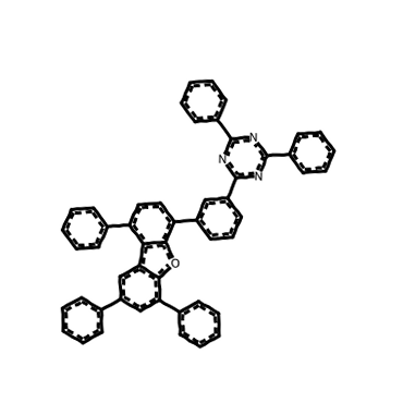 c1ccc(-c2cc(-c3ccccc3)c3oc4c(-c5cccc(-c6nc(-c7ccccc7)nc(-c7ccccc7)n6)c5)ccc(-c5ccccc5)c4c3c2)cc1